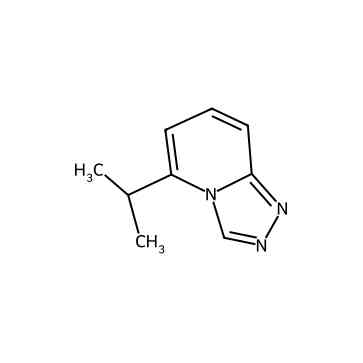 CC(C)c1cccc2nncn12